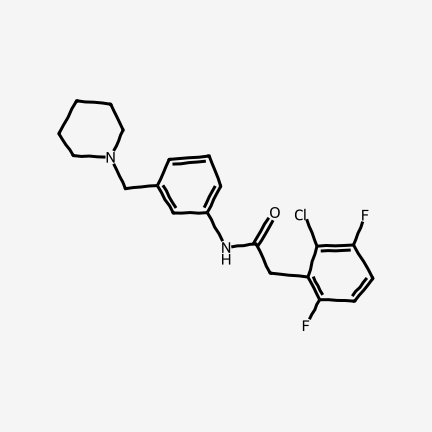 O=C(Cc1c(F)ccc(F)c1Cl)Nc1cccc(CN2CCCCC2)c1